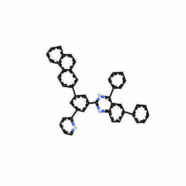 c1ccc(-c2ccc3nc(-c4cc(-c5ccc6c(ccc7ccccc76)c5)cc(-c5ccccn5)c4)nc(-c4ccccc4)c3c2)cc1